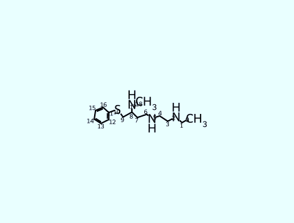 CCNCCNCCC(CSc1ccccc1)NC